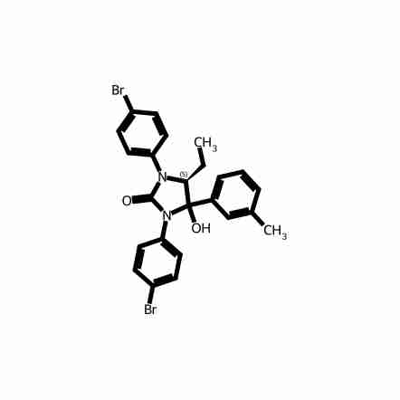 CC[C@@H]1N(c2ccc(Br)cc2)C(=O)N(c2ccc(Br)cc2)C1(O)c1cccc(C)c1